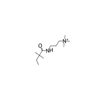 CCC(C)(C)C(=O)NCCC[N+](C)(C)C